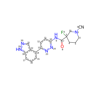 N#CN1CCCC(F)(C(=O)Nc2ccc(-c3cccc4[nH]ncc34)nn2)C1